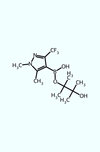 Cc1c(B(O)OC(C)(C)C(C)(C)O)c(C(F)(F)F)nn1C